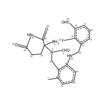 BC1(N(C=O)Cc2c(C)cccc2NCc2cccc(C=O)c2F)CCC(=O)NC1=O